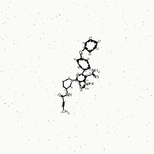 CC#CC(=O)NC1CCCN(c2nc(-c3ccc(Oc4ccccc4)cc3)c(C(N)=O)c3[nH]cnc23)C1